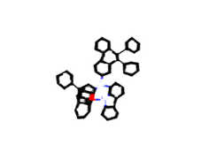 c1ccc(-c2cccc(N(c3ccc4c(c3)c(-c3ccccc3)c(-c3ccccc3)c3ccccc34)c3cccc4c5ccccc5n(-c5cccc6ccccc56)c34)c2)cc1